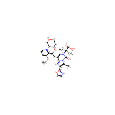 COc1cccnc1[C@H](Cc1cn(C(C)(C)C(=O)O)c(=O)n2c(C)c(-c3ncco3)nc12)OC1CCOCC1